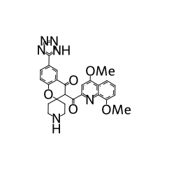 COc1cc(C(=O)C2C(=O)c3cc(-c4nnn[nH]4)ccc3OC23CCNCC3)nc2c(OC)cccc12